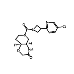 O=C1CO[C@H]2CCN(C(=O)N3CC(c4ccc(Cl)cn4)C3)C[C@H]2N1